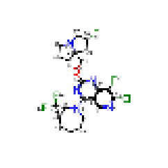 Fc1c(Cl)ncc2c(N3CCCCC4C3C4(F)F)nc(OC[C@@]34CCCN3C[C@H](F)C4)nc12